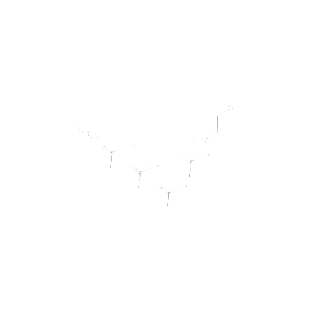 CC(=O)O.CC(=O)O.CC(=O)O.CC(=O)O.NCCN.[NaH].[NaH].[Zn]